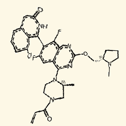 C=CC(=O)N1CCN(c2nc(OC[C@@H]3CCCN3C)nc3c(F)c(-c4[nH]c(=O)cc5cccc(Cl)c45)c(F)cc23)[C@@H](C)C1